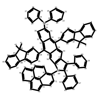 CC1(C)c2ccccc2-c2ccc(-c3c4cc(N(c5ccccc5)c5ccccc5)ccc4c(-c4ccc5c(c4)C(C)(C)c4ccccc4-5)c4cc5c(cc34)c(-c3ccccc3)c(-c3ccccc3)n5-c3ccc4ccc5cccc6ccc3c4c56)cc21